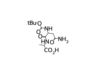 CC(NC(=O)C(CC(N)=O)NC(=O)OC(C)(C)C)C(=O)O